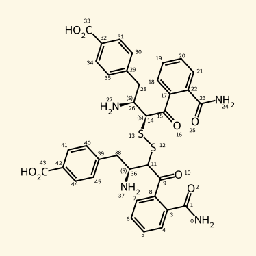 NC(=O)c1ccccc1C(=O)C(SS[C@H](C(=O)c1ccccc1C(N)=O)[C@@H](N)Cc1ccc(C(=O)O)cc1)[C@@H](N)Cc1ccc(C(=O)O)cc1